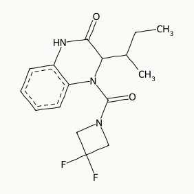 CCC(C)C1C(=O)Nc2ccccc2N1C(=O)N1CC(F)(F)C1